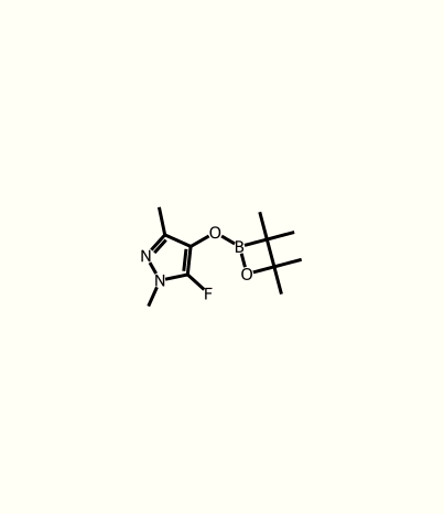 Cc1nn(C)c(F)c1OB1OC(C)(C)C1(C)C